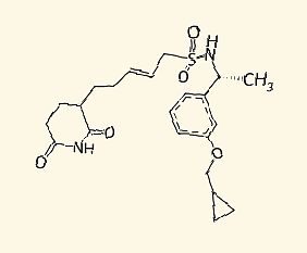 C[C@@H](NS(=O)(=O)C/C=C/CCC1CCC(=O)NC1=O)c1cccc(OCC2CC2)c1